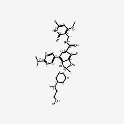 COCCN(C)[C@H]1CC[C@H](C2(C)Oc3c(-c4cnc(N(C)C)nc4)cc(C(=O)NCc4c(SC)cc(C)[nH]c4=O)c(C)c3O2)CC1